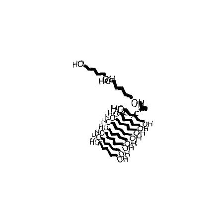 C=C(C)C(=O)O.OCCCCCO.OCCCCCO.OCCCCCO.OCCCCCO.OCCCCCO.OCCCCCO.OCCCCCO.OCCCCCO.OCCCCCO.OCCCCCO